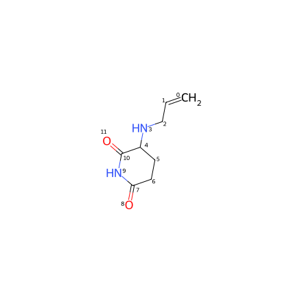 C=CCNC1CCC(=O)NC1=O